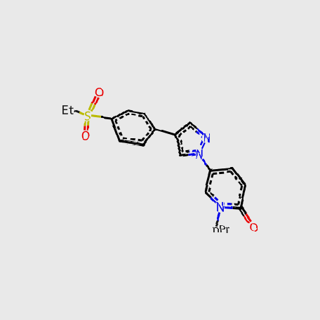 CCCn1cc(-n2cc(-c3ccc(S(=O)(=O)CC)cc3)cn2)ccc1=O